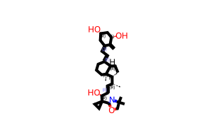 C=C1/C(=C\C=C2/CCC[C@]3(C)[C@@H]([C@H](C)/C=C/[C@@H](O)C4(C5=NC(C)(C)CO5)CC4)CC[C@@H]23)C[C@@H](O)C[C@@H]1O